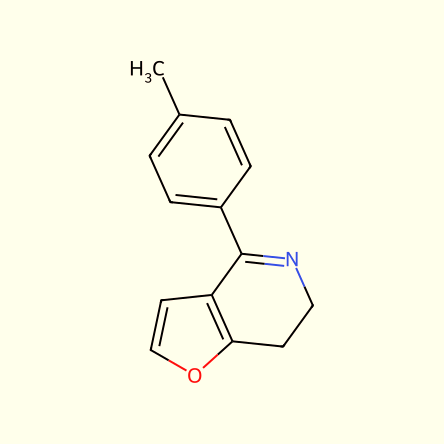 Cc1ccc(C2=NCCc3occc32)cc1